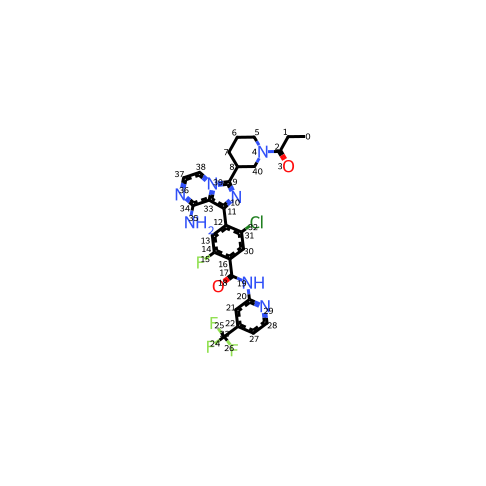 CCC(=O)N1CCCC(c2nc(-c3cc(F)c(C(=O)Nc4cc(C(F)(F)F)ccn4)cc3Cl)c3c(N)nccn23)C1